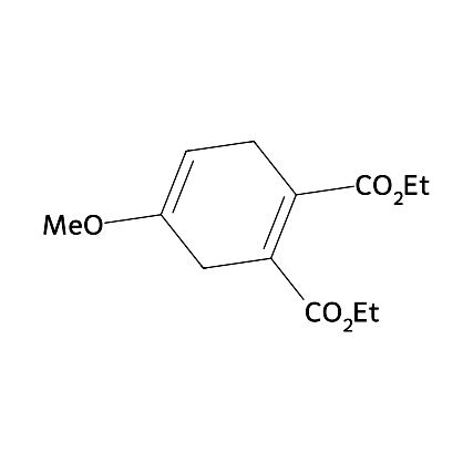 CCOC(=O)C1=C(C(=O)OCC)CC(OC)=CC1